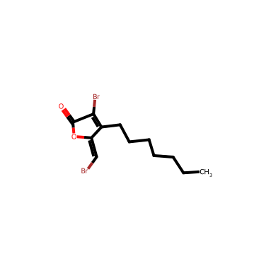 CCCCCCCC1=C(Br)C(=O)OC1=CBr